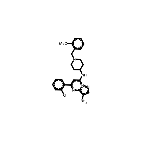 Bc1cnn2c(NC3CCN(Cc4ccccc4OC)CC3)cc(-c3ccccc3Cl)nc12